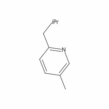 Cc1ccc(CC(C)C)nc1